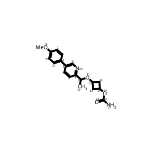 COc1ccc(-c2ccc(C(C)OC3CC(OC(N)=O)C3)nc2)cc1